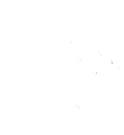 COc1cc(C#N)c(O[C@H]2CC[C@@](C)(C(=O)O)CC2)cc1C(=O)N[C@@H]1[C@H]2CC[C@H](C2)[C@@H]1C(=O)N[C@@H](C)C(C)(C)C